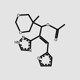 CC(=O)OC(C(=Cc1ccco1)c1nc[nH]n1)C1(C)COCOC1